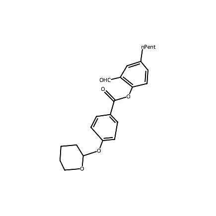 CCCCCc1ccc(OC(=O)c2ccc(OC3CCCCO3)cc2)c(C=O)c1